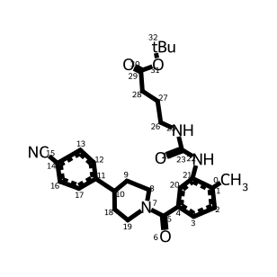 Cc1ccc(C(=O)N2CCC(c3ccc(C#N)cc3)CC2)cc1NC(=O)NCCCC(=O)OC(C)(C)C